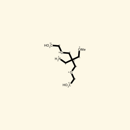 COCC(CN)(COCC(=O)O)COCC(=O)O